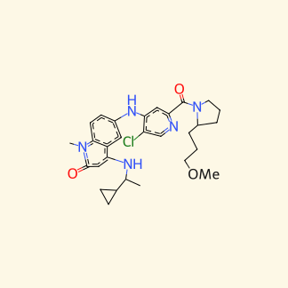 COCCCC1CCCN1C(=O)c1cc(Nc2ccc3c(c2)c(NC(C)C2CC2)cc(=O)n3C)c(Cl)cn1